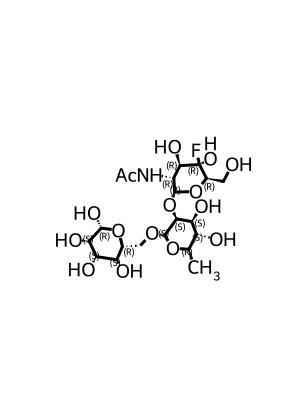 CC(=O)N[C@H]1[C@H](O[C@@H]2[C@@H](OC[C@H]3O[C@@H](O)[C@@H](O)[C@@H](O)[C@@H]3O)O[C@H](C)[C@@H](O)[C@@H]2O)O[C@H](CO)[C@](O)(F)[C@@H]1O